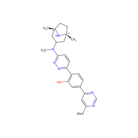 COc1cc(-c2ccc(-c3ccc(N(C)C4C[C@]5(C)CC[C@](C)(C4)N5)nn3)c(O)c2)ncn1